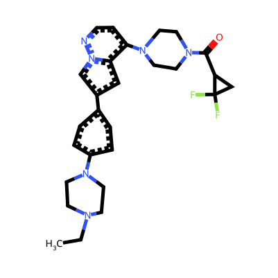 CCN1CCN(c2ccc(-c3cc4c(N5CCN(C(=O)C6CC6(F)F)CC5)ccnn4c3)cc2)CC1